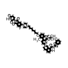 Cc1c(OCCCCCCCN2CCN(c3cc4c(cc3F)C(=O)N(C3CCC(=O)NC3=O)C4=O)CC2)cccc1-c1ccc(N2CCc3cccc(C(=O)Nc4nc5ccccc5s4)c3C2)nc1C(=O)OC(C)(C)C